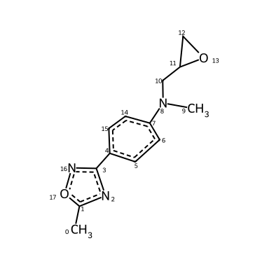 Cc1nc(-c2ccc(N(C)CC3CO3)cc2)no1